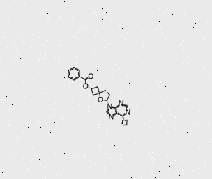 O=C(O[C@H]1C[C@]2(CC[C@H](n3cnc4c(Cl)ncnc43)O2)C1)c1ccccc1